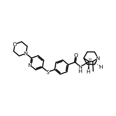 C[C@H]1[C@H](NC(=O)c2ccc(Sc3ccc(N4CCOCC4)nc3)cc2)C2CCN1CC2